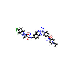 Cc1c(C(=O)NCc2ccc3nc(Nc4ccc(C(=O)NC5CCN(C6CC6)CC5)cc4)ncc3c2)c(=O)n(Cc2ccc(F)c(F)c2)n1C